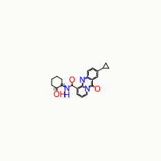 O=C(N[C@@H]1CCCC[C@@H]1O)c1cccn2c(=O)c3cc(C4CC4)ccc3nc12